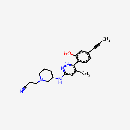 CC#Cc1ccc(-c2nnc(N[C@@H]3CCCN(CCC#N)C3)cc2C)c(O)c1